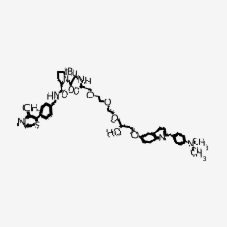 Cc1ncsc1-c1ccc(CNC(=O)C2CCCN2C(=O)C(NC(=O)COCCOCCOCC(O)COc2ccc3nc(-c4ccc(N(C)C)cc4)ccc3c2)C(C)(C)C)cc1